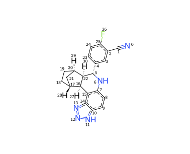 N#Cc1cc([C@@H]2Nc3ccc4[nH]nnc4c3[C@H]3[C@@H]4CC[C@H](C4)[C@H]32)ccc1F